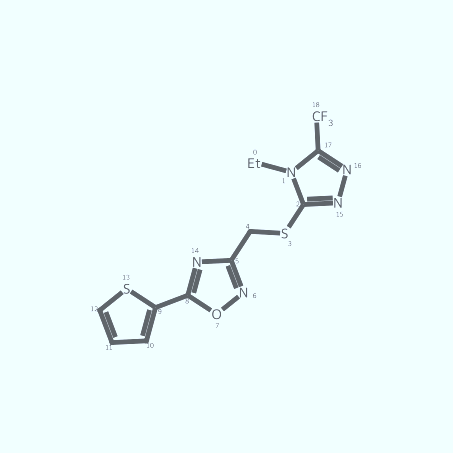 CCn1c(SCc2noc(-c3cccs3)n2)nnc1C(F)(F)F